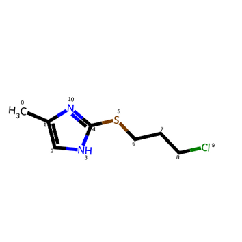 Cc1c[nH]c(SCCCCl)n1